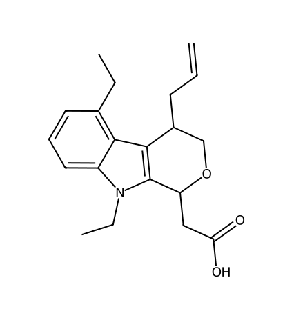 C=CCC1COC(CC(=O)O)c2c1c1c(CC)cccc1n2CC